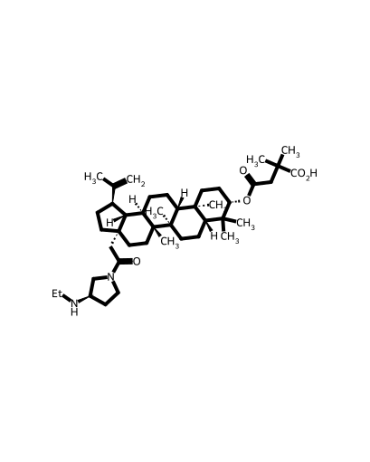 C=C(C)[C@@H]1CC[C@]2(CC(=O)N3CC[C@@H](NCC)C3)CC[C@]3(C)[C@H](CC[C@@H]4[C@@]5(C)CC[C@H](OC(=O)CC(C)(C)C(=O)O)C(C)(C)[C@@H]5CC[C@]43C)[C@@H]12